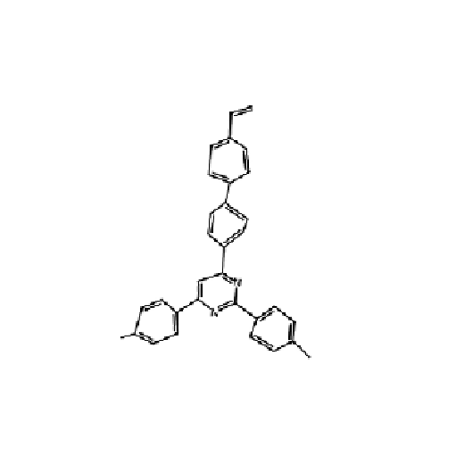 C=Cc1ccc(-c2ccc(-c3cc(-c4ccc(C)cc4)nc(-c4ccc(C)cc4)n3)cc2)cc1